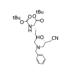 CC(C)(C)OC(=O)N[C@@H](CCCCN(Cc1ccccc1)C[C@H](O)CC#N)C(=O)OC(C)(C)C